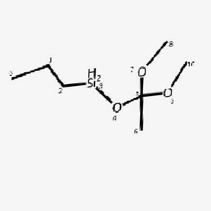 CCC[SiH2]OC(C)(OC)OC